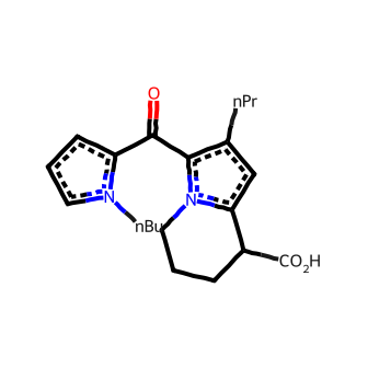 CCCCn1cccc1C(=O)c1c(CCC)cc2n1CCCC2C(=O)O